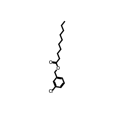 CCCCCCCCCC(=O)OCc1cccc(Cl)c1